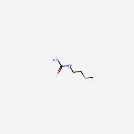 CSCCNC(N)=O